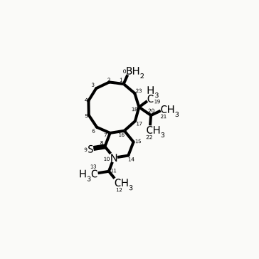 BC1CCCCCC2C(=S)N(C(C)C)CCC2CC(C)(C(C)C)C1